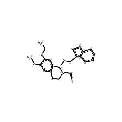 CCOc1cc2c(cc1OC)CCN(C=O)[C@@H]2CCc1c[nH]c2ccccc12